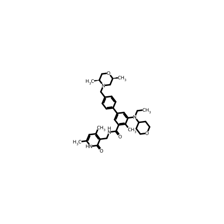 CCN(c1cc(-c2ccc(CN3C[C@H](C)OC[C@@H]3C)cc2)cc(C(=O)NCc2c(C)cc(C)[nH]c2=O)c1C)C1CCOCC1